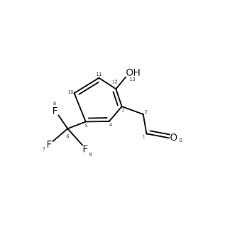 O=CCc1cc(C(F)(F)F)ccc1O